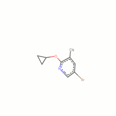 N#Cc1cc(Br)cnc1OC1CC1